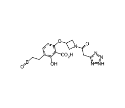 O=BCCc1ccc(OC2CN(C(=O)Cc3nn[nH]n3)C2)c(C(=O)O)c1O